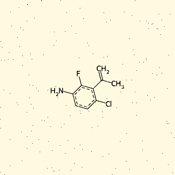 C=C(C)c1c(Cl)ccc(N)c1F